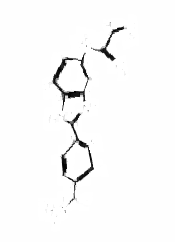 NCc1ccc(-c2nc3cc(NC(=O)CCl)ccc3[nH]2)cc1